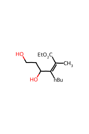 CCCCC(=C(C)C(=O)OCC)C(O)CCO